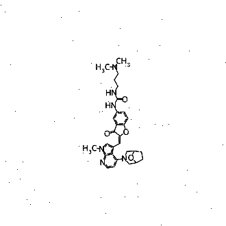 CN(C)CCCNC(=O)Nc1ccc2c(c1)C(=O)C(=Cc1cn(C)c3nccc(N4CC5CCC(C4)O5)c13)O2